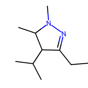 CCC1=NN(C)C(C)C1C(C)C